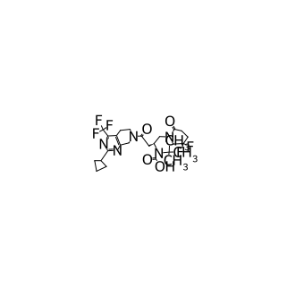 CC(C)(C)N(C(=O)O)[C@@H](CC(=O)N1CCc2c(nc(C3CCC3)nc2C(F)(F)F)C1)CN1CC(F)(F)CCC1=O